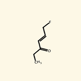 CCC(=O)/C=C/CF